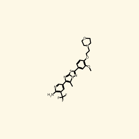 COc1cc(-c2nn3c(C)c(-c4cnc(N)c(C(F)(F)F)c4)nc3s2)ccc1OCCN1CCOCC1